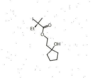 CC[C@](C)(I)C(=O)OCCC1(O)CCCC1